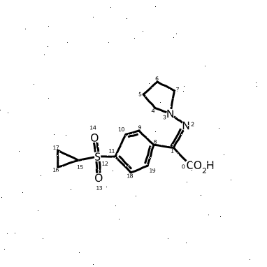 O=C(O)/C(=N/N1CCCC1)c1ccc(S(=O)(=O)C2CC2)cc1